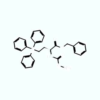 CC(C)(C)OC(=O)N[C@@H](CC[PH](c1ccccc1)(c1ccccc1)c1ccccc1)C(=O)OCc1ccccc1